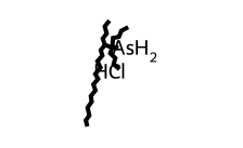 CCCCCCCCCCCCCCC(CCCC)C([AsH2])(CCCC)CCCC.Cl